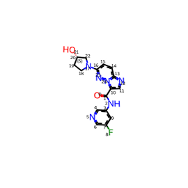 O=C(Nc1cncc(F)c1)c1cnc2ccc(N3CC[C@H](O)C3)nn12